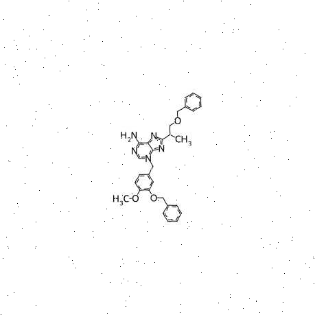 COc1ccc(Cn2cnc(N)c3nc(C(C)COCc4ccccc4)nc2-3)cc1OCc1ccccc1